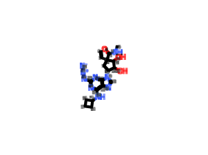 C=C[C@]1(C(=O)NC)C[C@@H](n2cnc3c(NC4CCC4)nc(N=[N+]=[N-])nc32)C(O)C1O